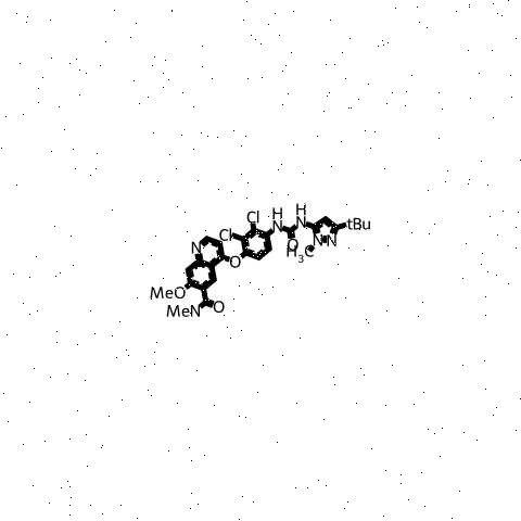 CNC(=O)c1cc2c(Oc3ccc(NC(=O)Nc4cc(C(C)(C)C)nn4C)c(Cl)c3Cl)ccnc2cc1OC